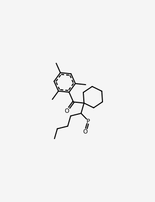 CCCCC(P=O)C1(C(=O)c2c(C)cc(C)cc2C)CCCCC1